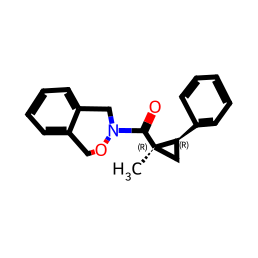 C[C@@]1(C(=O)N2Cc3ccccc3CO2)C[C@@H]1c1ccccc1